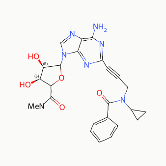 CNC(=O)C1OC(n2cnc3c(N)nc(C#CCN(C(=O)c4ccccc4)C4CC4)nc32)[C@H](O)[C@@H]1O